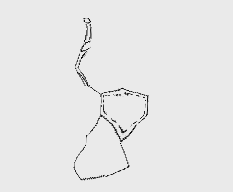 O=C=Nc1cccc2c1CCCC2